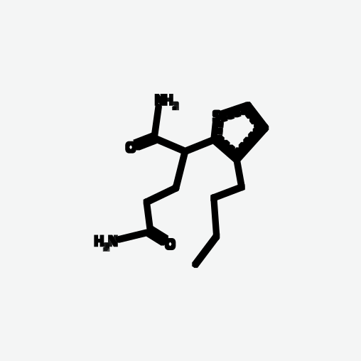 CCCCc1ccsc1C(CCC(N)=O)C(N)=O